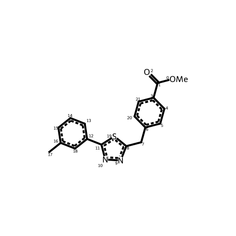 COC(=O)c1ccc(Cc2nnc(-c3cccc(C)c3)s2)cc1